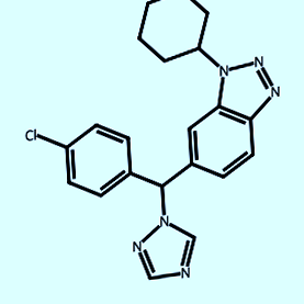 Clc1ccc(C(c2ccc3nnn(C4CCCCC4)c3c2)n2cncn2)cc1